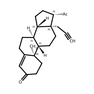 C#CC[C@]12CC[C@H]3[C@@H](CCC4=CC(=O)CC[C@@]43C)[C@@H]1CC[C@@H]2C(C)=O